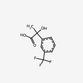 CC(O)(C(=O)O)c1cccc(C(F)(F)F)c1